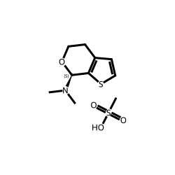 CN(C)[C@H]1OCCc2ccsc21.CS(=O)(=O)O